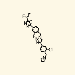 Fc1cc(-c2nnc(C(F)F)o2)ccc1Cn1cc(-c2ccc(CN3CCC3)c(Cl)c2)nn1